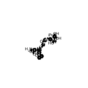 CC(C)c1cc(-c2nnc(O)n2-c2ccc(CN3CCC(C(=O)N4CCC(COc5nc6c(c(N7CCN(C(N)=O)C(CC#N)C7)n5)CCN(c5cccc7cccc(Cl)c57)C6)C4)CC3)cc2)c(O)cc1O